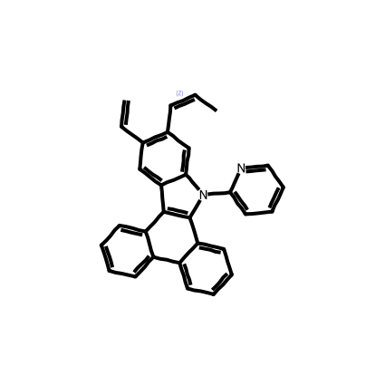 C=Cc1cc2c3c4ccccc4c4ccccc4c3n(-c3ccccn3)c2cc1/C=C\C